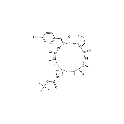 CC(C)C[C@@H]1NC(=O)[C@H](Cc2ccc(O)cc2)NC(=O)[C@H](C)NC2(CNC(=O)[C@H](C)NC1=O)CN(C(=O)OC(C)(C)C)C2